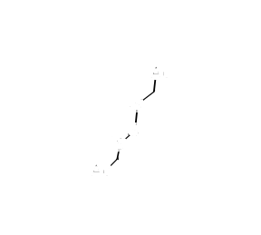 CC(=O)CSSSCC(C)=O